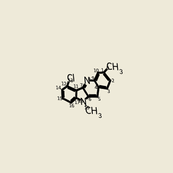 Cc1ccc2cc3c(nc2c1)c1c(Cl)cccc1n3C